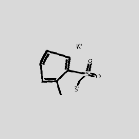 Cc1ccccc1S(=O)(=O)[S-].[K+]